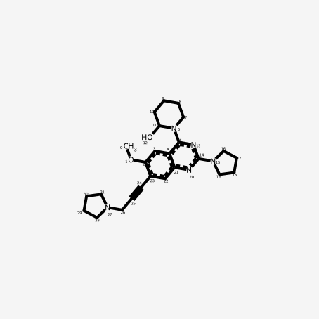 COc1cc2c(N3CCCCC3O)nc(N3CCCC3)nc2cc1C#CCN1CCCC1